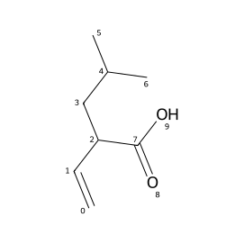 C=CC(CC(C)C)C(=O)O